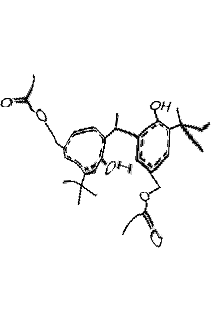 CC(=O)OCc1cc(C(C)c2cc(COC(C)=O)cc(C(C)(C)C)c2O)c(O)c(C(C)(C)C)c1